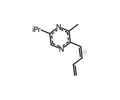 C=C/C=C\c1ncc(C(C)C)nc1C